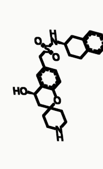 O=S(=O)(Cc1ccc2c(c1)[C@H](O)CC1(CCNCC1)O2)N[C@@H]1CCc2ccccc2C1